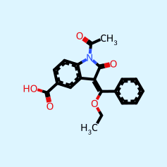 CCOC(=C1C(=O)N(C(C)=O)c2ccc(C(=O)O)cc21)c1ccccc1